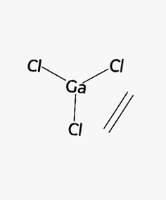 C=C.[Cl][Ga]([Cl])[Cl]